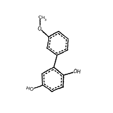 COc1cccc(-c2cc(O)ccc2O)c1